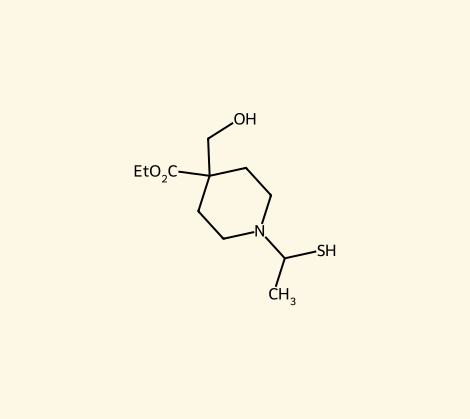 CCOC(=O)C1(CO)CCN(C(C)S)CC1